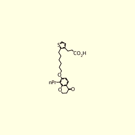 CCCc1c(OCCCCCCc2sccc2CCC(=O)O)ccc2c1OCCC2=O